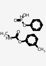 CNC(=O)Oc1cccc(C)c1.O=[PH](O)Oc1ccccc1